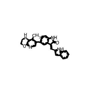 Cc1c(-c2ccc3c(c2)C(=Cc2cc4ccccc4[nH]2)C(=O)N3)cnc2c1NCCO2